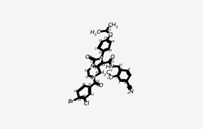 COc1cc(C#N)ccc1CNC(=O)c1c2n(c(=O)n1-c1ccc(OC(C)C)cc1)CCN(C(=O)c1ccc(Br)c(Cl)c1)C2